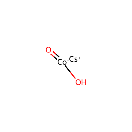 [Cs+].[O]=[Co-][OH]